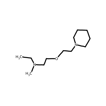 CCN(C)CCOCCN1CCCCC1